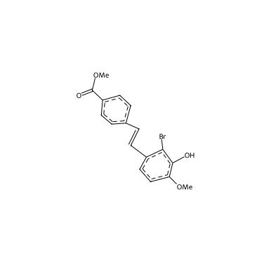 COC(=O)c1ccc(/C=C/c2ccc(OC)c(O)c2Br)cc1